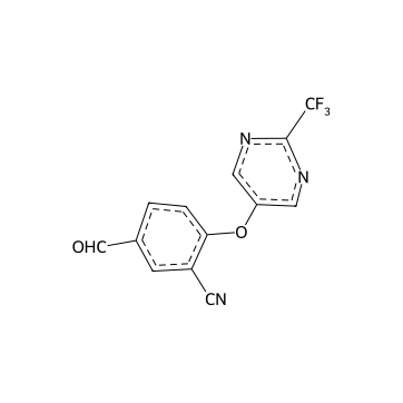 N#Cc1cc(C=O)ccc1Oc1cnc(C(F)(F)F)nc1